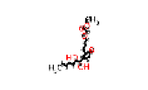 CCCCCC(O)C(O)C1C2CC(=O)C(CCCCOCC(=O)OCC)C21